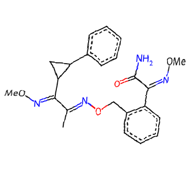 CO/N=C(\C(N)=O)c1ccccc1CO/N=C(C)/C(=N/OC)C1CC1c1ccccc1